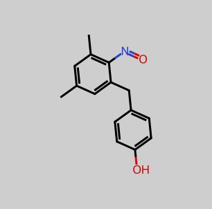 Cc1cc(C)c(N=O)c(Cc2ccc(O)cc2)c1